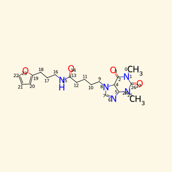 CN1C(=O)C2C(N=CN2CCCCC(=O)NCCCc2ccco2)N(C)C1=O